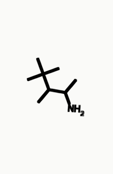 CC(N)C(C)C(C)(C)C